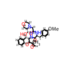 COc1ccc(C[C@H](NC(=O)CN2CCOC[C@H]2CO)C(=O)N[C@@H](Cc2ccccc2)C(=O)[C@@]2(C)CO2)cc1